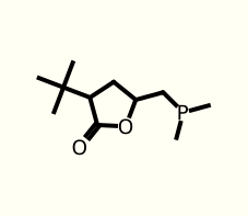 CP(C)CC1CC(C(C)(C)C)C(=O)O1